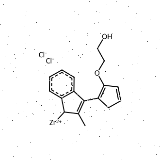 CC1=C(C2=C(OCCO)C=CC2)c2ccccc2[CH]1[Zr+2].[Cl-].[Cl-]